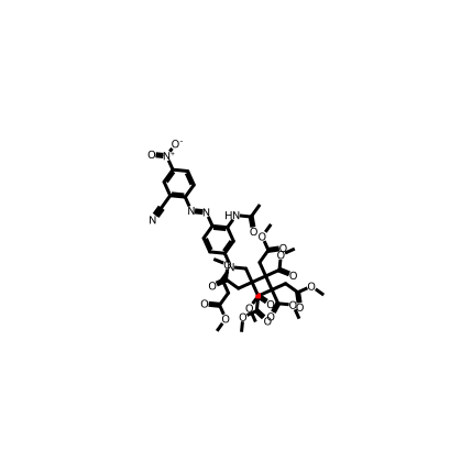 COC(=O)CCN(CC(CC(=O)OC)(C(=O)OC)C(CC(=O)OC)(C(=O)OC)C(CC(=O)OC)(CC(=O)OC)C(=O)OC)c1ccc(N=Nc2ccc([N+](=O)[O-])cc2C#N)c(NC(C)=O)c1